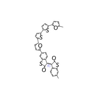 Cc1ccc2c(c1)SC(=O)/C2=C1/C(=O)Sc2cc(-c3ccc(-c4ccc(-c5ccc(-c6ccc(C)o6)s5)s4)o3)ccc21